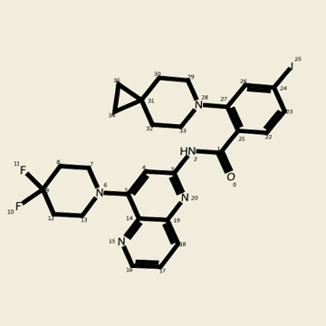 O=C(Nc1cc(N2CCC(F)(F)CC2)c2ncccc2n1)c1ccc(I)cc1N1CCC2(CC1)CC2